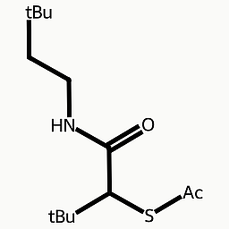 CC(=O)SC(C(=O)NCCC(C)(C)C)C(C)(C)C